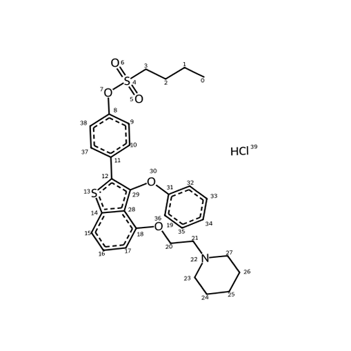 CCCCS(=O)(=O)Oc1ccc(-c2sc3cccc(OCCN4CCCCC4)c3c2Oc2ccccc2)cc1.Cl